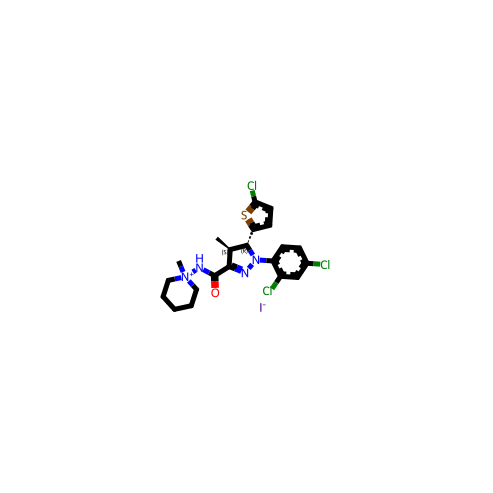 C[C@@H]1C(C(=O)N[N+]2(C)CCCCC2)=NN(c2ccc(Cl)cc2Cl)[C@H]1c1ccc(Cl)s1.[I-]